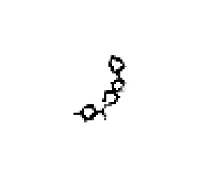 O=C(c1ccc(I)cc1)N1CCC2(CC1)CC(c1ccccc1)=NO2